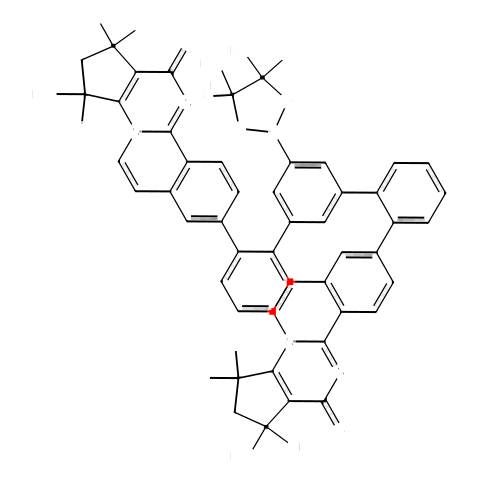 CC1(C)CC(C)(C)c2c1c(=O)nc1c3ccc(-c4ccccc4-c4cc(B5OC(C)(C)C(C)(C)O5)cc(-c5ccccc5-c5ccc6c(ccn7c8c(c(=O)nc67)C(C)(C)CC8(C)C)c5)c4)cc3ccn21